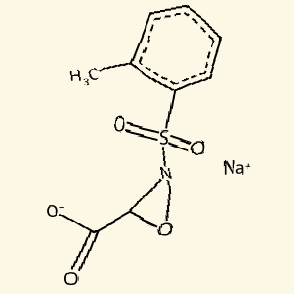 Cc1ccccc1S(=O)(=O)N1OC1C(=O)[O-].[Na+]